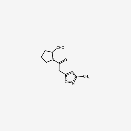 Cc1cc(CC(=O)N2CCCC2C=O)on1